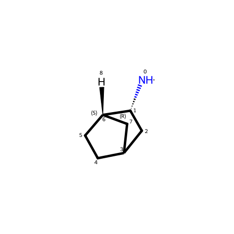 [NH][C@@H]1CC2CC[C@H]1C2